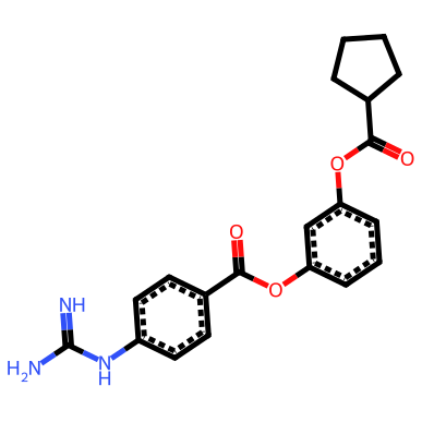 N=C(N)Nc1ccc(C(=O)Oc2cccc(OC(=O)C3CCCC3)c2)cc1